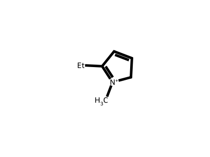 CCC1=[N+](C)CC=C1